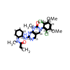 C=CC(=O)N(C)C1CCCCC1Nc1ncc2c(n1)N(C)C(=O)N(c1c(Cl)c(OC)cc(OC)c1Cl)C2